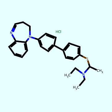 CCN(CC)C(C)Sc1ccc(-c2ccc(N3CCC=Nc4ccccc43)cc2)cc1.Cl